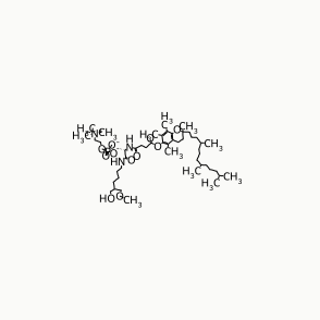 COCC(CO)CCCCNC(=O)[C@H](COP(=O)([O-])OCC[N+](C)(C)C)NC(=O)CCC(=O)Oc1c(C)c(C)c2c(c1C)CCC(C)(CCCC(C)CCCC(C)CCCC(C)C)O2